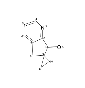 O=C1c2ncccc2CC12CC2